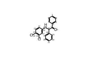 O=C(c1ccccc1)C(Nc1ccc(Cl)c(Cl)c1)c1ccccc1